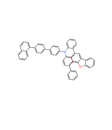 c1ccc(-c2ccc(N(c3ccc(-c4ccc(-c5cccc6ccccc56)cc4)cc3)c3ccccc3-c3ccc4oc5ccccc5c4c3)cc2)cc1